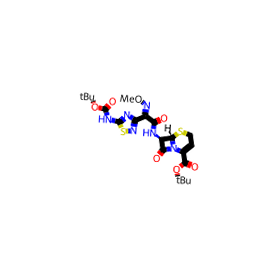 CO/N=C(/C(=O)N[C@@H]1C(=O)N2C(C(=O)OC(C)(C)C)=CCS[C@H]12)c1nsc(NC(=O)OC(C)(C)C)n1